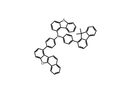 CC1(C)c2ccccc2-c2cccc(-c3ccc(N(c4ccc(-c5cccc6oc7c8ccccc8ccc7c56)cc4)c4cccc5sc6ccccc6c45)cc3)c21